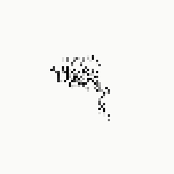 CC(C)=CCN(C(=O)CN1CCN(C(=O)c2ccc(C)cc2)CC1)c1cn(C)c(=O)n(C)c1=O